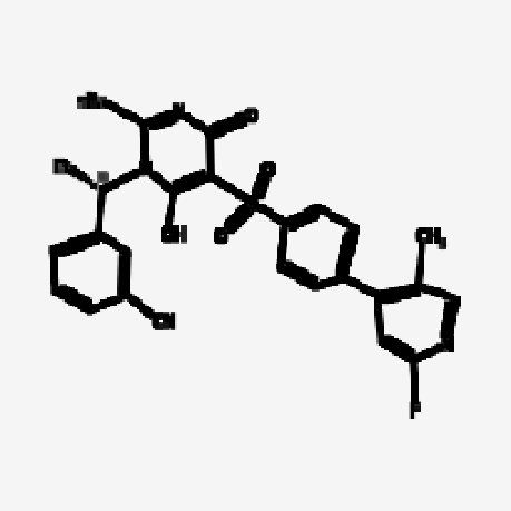 CCCCc1nc(=O)c(S(=O)(=O)c2ccc(-c3cc(F)ncc3C)cc2)c(O)n1[C@@H](CC)c1cccc(C#N)c1